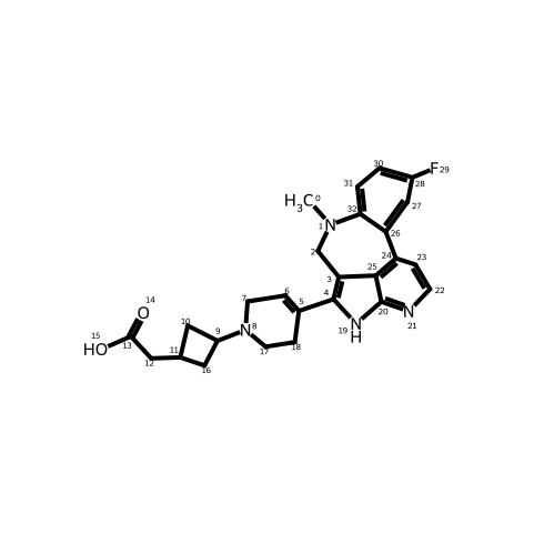 CN1Cc2c(C3=CCN(C4CC(CC(=O)O)C4)CC3)[nH]c3nccc(c23)-c2cc(F)ccc21